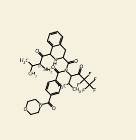 CC(C)C(C(=O)C(F)(F)C(F)(F)F)N(C(=O)c1ccc(C(=O)N2CCOCC2)cc1)C(=O)C1Cc2ccccc2C(C(=O)[C@@H](N)C(C)C)N1